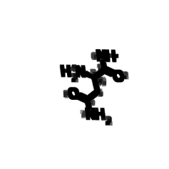 [NH]C(=O)[C@H](N)CC(N)=O